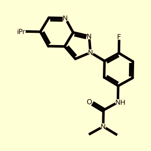 CC(C)c1cnc2nn(-c3cc(NC(=O)N(C)C)ccc3F)cc2c1